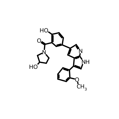 COc1ccccc1-c1c[nH]c2ncc(-c3ccc(O)c(C(=O)N4CCC(O)C4)c3)cc12